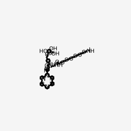 O=C(CCOCCOCCOCCOCCOCCOCCNI)NCCCC[C@@H](C(=O)Nc1ccc(CCO[C@@H]2O[C@H](CO)[C@@H](O)C[C@H]2O)cc1)n1cc(-c2cc3nc(c2)c2cccc(n2)c2cccc(n2)c2cccc(n2)c2cccc(n2)c2cccc3n2)nn1